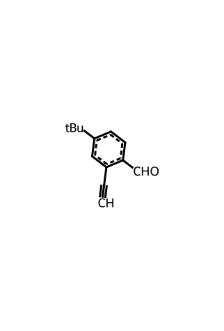 C#Cc1cc(C(C)(C)C)ccc1C=O